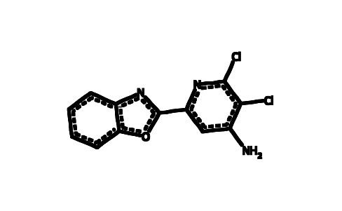 Nc1cc(-c2nc3ccccc3o2)nc(Cl)c1Cl